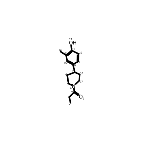 CCC(=O)N1CCC(c2ccc(O)c(C)c2)CC1